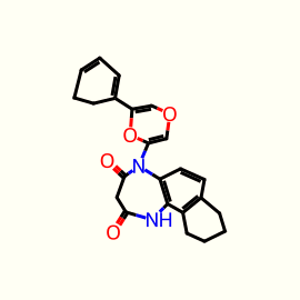 O=C1CC(=O)N(C2=COC=C(C3=CC=CCC3)O2)c2ccc3c(c2N1)CCCC3